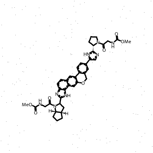 COC(=O)NCC(=O)N1CCC[C@H]1c1ncc(-c2ccc3c(c2)COc2cc4c(ccc5nc(C6C[C@@H]7CCC[C@@H]7N6C(=O)CNC(=O)OC)[nH]c54)cc2-3)[nH]1